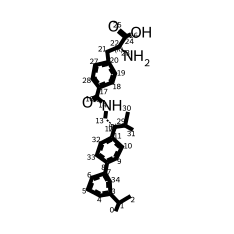 CC(C)c1cccc(-c2ccc([C@H](CNC(=O)c3ccc(C[C@@H](N)C(=O)O)cc3)C(C)C)cc2)c1